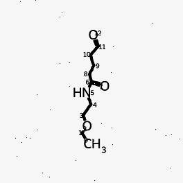 CCOCCNC(=O)CCCC=O